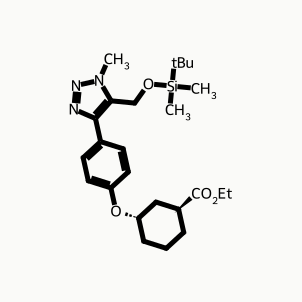 CCOC(=O)[C@H]1CCC[C@H](Oc2ccc(-c3nnn(C)c3CO[Si](C)(C)C(C)(C)C)cc2)C1